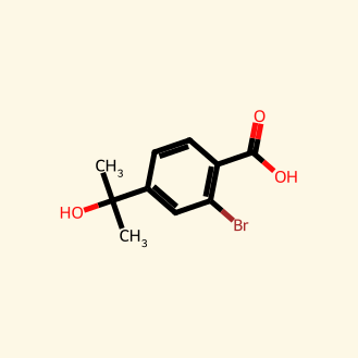 CC(C)(O)c1ccc(C(=O)O)c(Br)c1